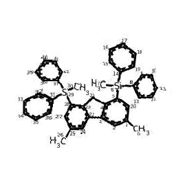 Cc1cc2c(c([Si](C)(c3ccccc3)c3ccccc3)c1)Cc1c-2cc(C)cc1[Si](C)(c1ccccc1)c1ccccc1